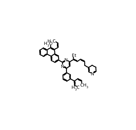 C/C=C\C(=C/C)c1cccc(-c2cc(/C(=C/C=C\CC3=CN=CCC3)CC)nc(-c3ccc4c(c3)c(/C=C\C)c(C)c3ccccc34)n2)c1